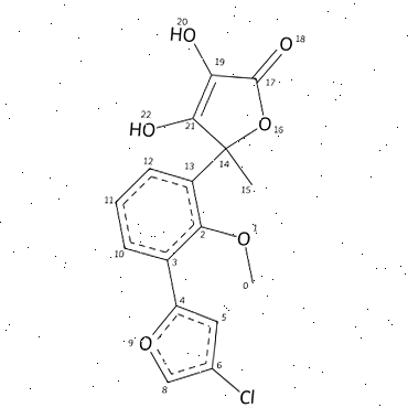 COc1c(-c2cc(Cl)co2)cccc1C1(C)OC(=O)C(O)=C1O